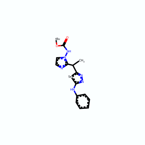 CC(c1nnc(Nc2ccccc2)[se]1)c1nccn1NC(=O)OC(C)(C)C